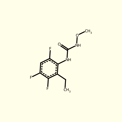 CCc1c(F)c(F)cc(F)c1NC(=O)NOC